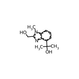 Cn1c(CO)nc2c(C(C)(C)O)cccc21